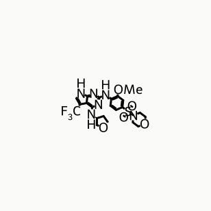 COc1cc(S(=O)(=O)N2CCOCC2)ccc1Nc1nc(N[C@@H]2CCOC2)c2c(C(F)(F)F)c[nH]c2n1